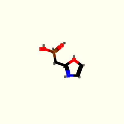 O=S(O)Cc1ncco1